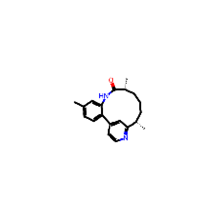 Cc1ccc2c(c1)NC(=O)[C@H](C)CCC[C@H](C)c1cc-2ccn1